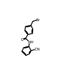 N#Cc1ccccc1NC(=O)c1ccc(CBr)cc1